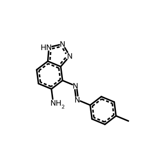 Cc1ccc(N=Nc2c(N)ccc3[nH]nnc23)cc1